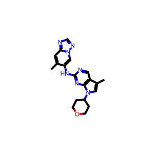 Cc1cc2ncnn2cc1Nc1ncc2c(C)cn(C3CCOCC3)c2n1